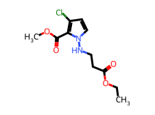 CCOC(=O)CCNn1ccc(Cl)c1C(=O)OC